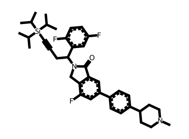 CC(C)[Si](C#CCC(c1cc(F)ccc1F)N1Cc2c(F)cc(-c3ccc(C4CCN(C)CC4)cc3)cc2C1=O)(C(C)C)C(C)C